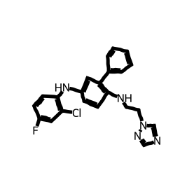 Fc1ccc(Nc2ccc(NCCn3cncn3)c(-c3ccccc3)c2)c(Cl)c1